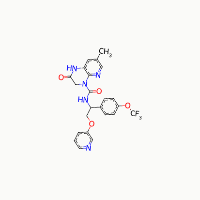 Cc1cnc2c(c1)NC(=O)CN2C(=O)NC(COc1cccnc1)c1ccc(OC(F)(F)F)cc1